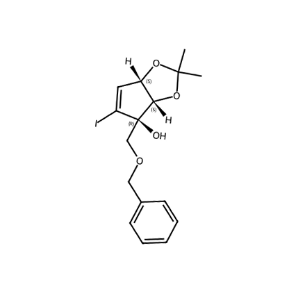 CC1(C)O[C@H]2C=C(I)[C@@](O)(COCc3ccccc3)[C@H]2O1